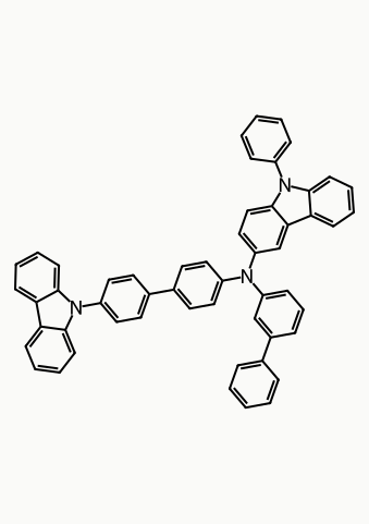 c1ccc(-c2cccc(N(c3ccc(-c4ccc(-n5c6ccccc6c6ccccc65)cc4)cc3)c3ccc4c(c3)c3ccccc3n4-c3ccccc3)c2)cc1